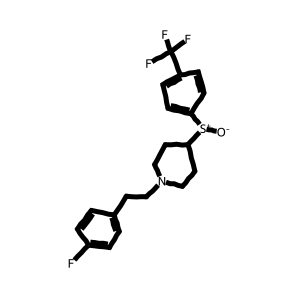 [O-][S+](c1ccc(C(F)(F)F)cc1)C1CCN(CCc2ccc(F)cc2)CC1